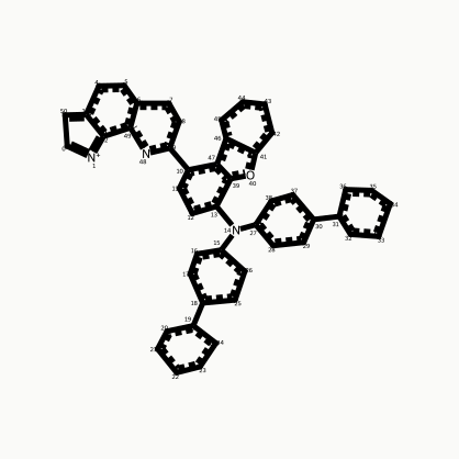 C1=[N+]=c2c(ccc3ccc(-c4ccc(N(c5ccc(-c6ccccc6)cc5)c5ccc(-c6ccccc6)cc5)c5oc6ccccc6c45)nc23)=C1